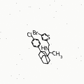 CC(NCc1cc(Br)cs1)C12CC3CC(CC(c4ccc(Cl)cc4)(C3)C1)C2